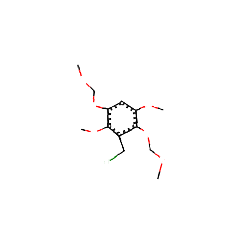 COCOc1cc(OC)c(OCOC)c(CCl)c1OC